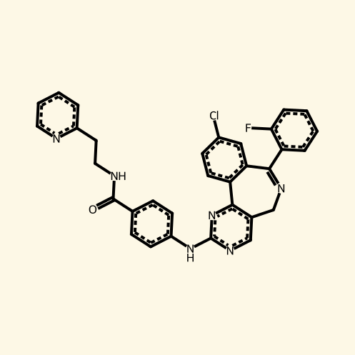 O=C(NCCc1ccccn1)c1ccc(Nc2ncc3c(n2)-c2ccc(Cl)cc2C(c2ccccc2F)=NC3)cc1